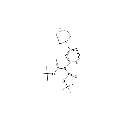 CC(C)(C)OC(=O)N(C(=O)OC(C)(C)C)c1cc(N2CCOCC2)ccn1